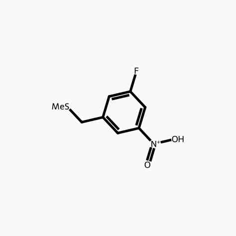 CSCc1cc(F)cc([N+](=O)O)c1